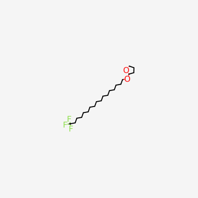 FC(F)(F)CCCCCCCCCCCCCCCCOC1CCCO1